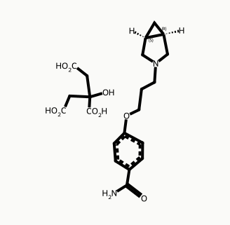 NC(=O)c1ccc(OCCCN2C[C@H]3C[C@H]3C2)cc1.O=C(O)CC(O)(CC(=O)O)C(=O)O